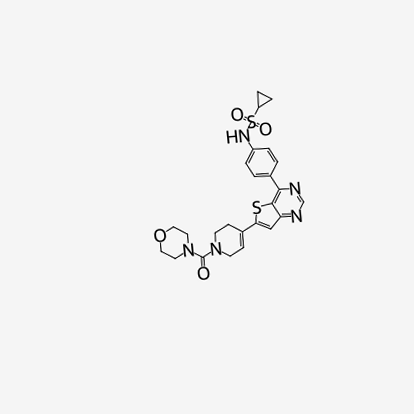 O=C(N1CC=C(c2cc3ncnc(-c4ccc(NS(=O)(=O)C5CC5)cc4)c3s2)CC1)N1CCOCC1